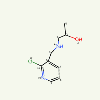 CC(O)CNCc1cccnc1Cl